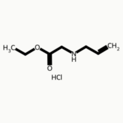 C=CCNCC(=O)OCC.Cl